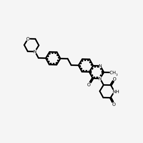 Cc1nc2ccc(CCc3ccc(CN4CCOCC4)cc3)cc2c(=O)n1C1CCC(=O)NC1=O